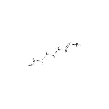 C=CCCCCC=CF